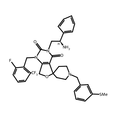 CSc1cccc(CN2CCC3(CC2)OCc2c3c(=O)n(C[C@H](N)c3ccccc3)c(=O)n2Cc2c(F)cccc2C(F)(F)F)c1